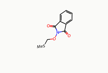 CSCON1C(=O)c2ccccc2C1=O